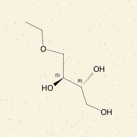 CCOC[C@H](O)[C@H](O)CO